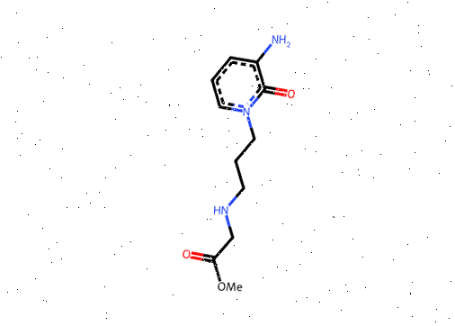 COC(=O)CNCCCn1cccc(N)c1=O